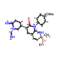 CCO[C@@]1(C)C=Cc2cc(-c3ccc(=N)n(C=N)c3)c(=O)n(-c3ccc(OC)cc3)c2N1